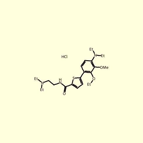 CCOc1c(-c2ccc(C(=O)NCCN(CC)CC)s2)ccc(N(CC)CC)c1OC.Cl